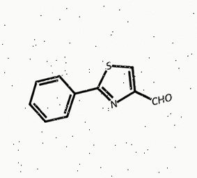 O=Cc1csc(-c2[c]cccc2)n1